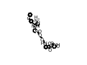 Nc1ncnc2c1c(-c1ccc(Oc3ccccc3)cc1)nn2C1CCCN(C(=O)COCCOCCNc2cccc3c2C(=O)N(C2CCC(=O)NC2=O)C3=O)C1